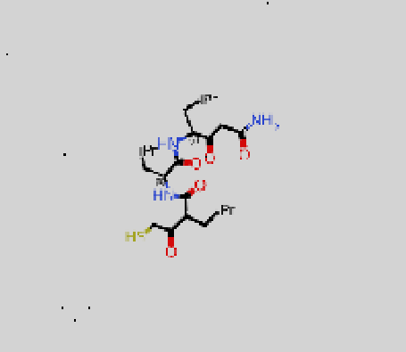 CC(C)CC(C(=O)CS)C(=O)N[C@@H](CC(C)C)C(=O)N[C@@H](CC(C)C)C(=O)CC(N)=O